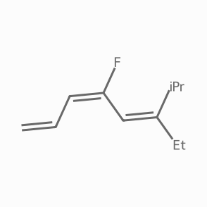 C=C/C=C(F)\C=C(\CC)C(C)C